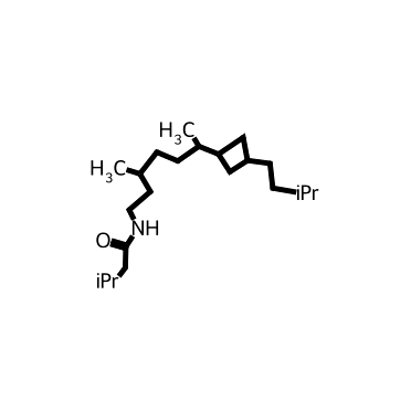 CC(C)CCC1CC(C(C)CCC(C)CCNC(=O)CC(C)C)C1